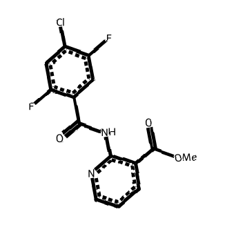 COC(=O)c1cccnc1NC(=O)c1cc(F)c(Cl)cc1F